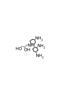 Nc1ccc(-c2cc(N)ccc2NCC(O)CO)c(N)c1